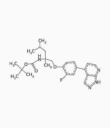 CC(C)CC(C)(COc1ccc(-c2ccnc3[nH]ncc23)cc1F)NC(=O)OC(C)(C)C